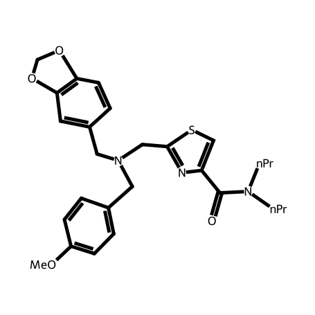 CCCN(CCC)C(=O)c1csc(CN(Cc2ccc(OC)cc2)Cc2ccc3c(c2)OCO3)n1